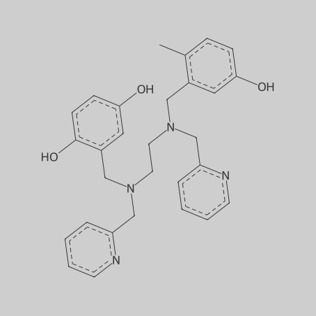 Cc1ccc(O)cc1CN(CCN(Cc1ccccn1)Cc1cc(O)ccc1O)Cc1ccccn1